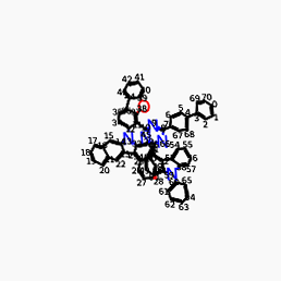 c1ccc(-c2ccc(-c3nc(-c4c(-n5c6cc7ccccc7cc6c6c7ccccc7ccc65)ccc5c4oc4ccccc45)nc(-c4cccc5c4c4ccccc4n5-c4ccccc4)n3)cc2)cc1